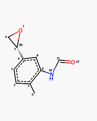 Cc1ccc([C@@H]2CO2)cc1NC=O